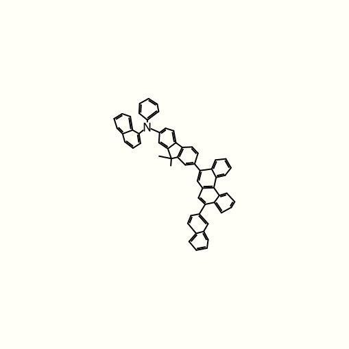 CC1(C)c2cc(-c3cc4cc(-c5ccc6ccccc6c5)c5ccccc5c4c4ccccc34)ccc2-c2ccc(N(c3ccccc3)c3cccc4ccccc34)cc21